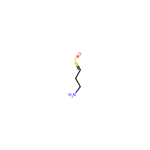 NCCC=S=O